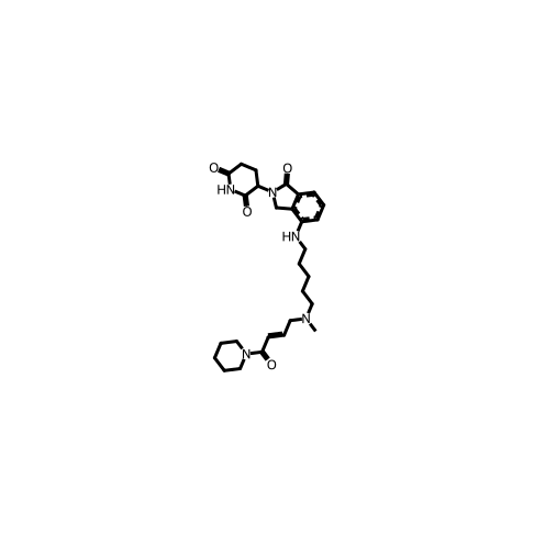 CN(C/C=C/C(=O)N1CCCCC1)CCCCCNc1cccc2c1CN(C1CCC(=O)NC1=O)C2=O